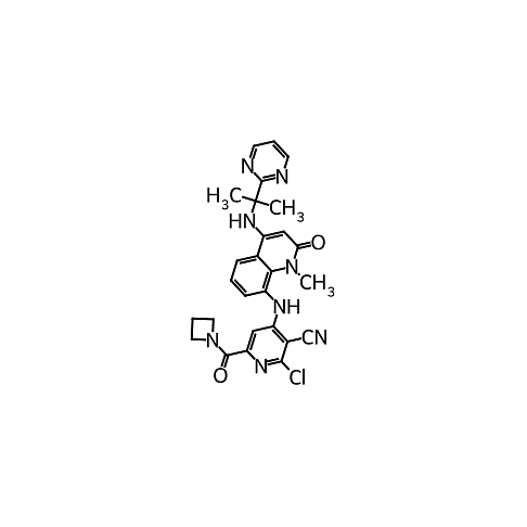 Cn1c(=O)cc(NC(C)(C)c2ncccn2)c2cccc(Nc3cc(C(=O)N4CCC4)nc(Cl)c3C#N)c21